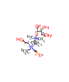 C[N+](C)(C#P=O)CCO.C[N+](C)(C)[O-].OCC(O)CO